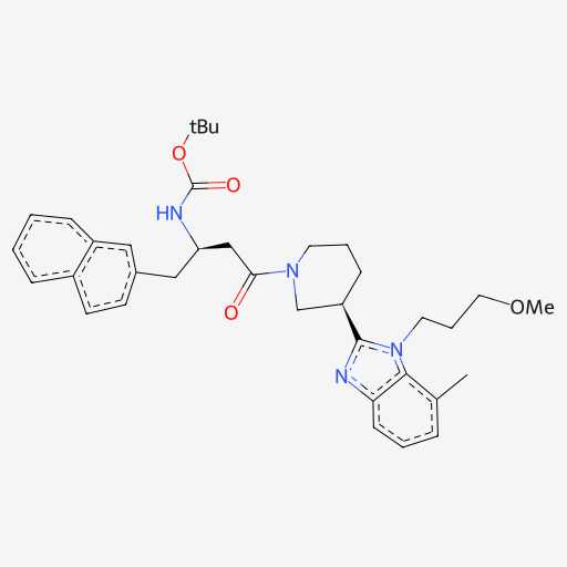 COCCCn1c([C@@H]2CCCN(C(=O)C[C@@H](Cc3ccc4ccccc4c3)NC(=O)OC(C)(C)C)C2)nc2cccc(C)c21